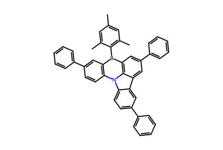 Cc1cc(C)c(B2c3cc(-c4ccccc4)ccc3-n3c4ccc(-c5ccccc5)cc4c4cc(-c5ccccc5)cc2c43)c(C)c1